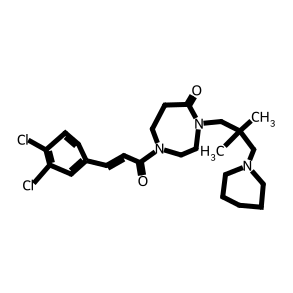 CC(C)(CN1CCCCC1)CN1CCN(C(=O)/C=C/c2ccc(Cl)c(Cl)c2)CCC1=O